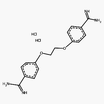 Cl.Cl.N=C(N)c1ccc(OCCOc2ccc(C(=N)N)cc2)cc1